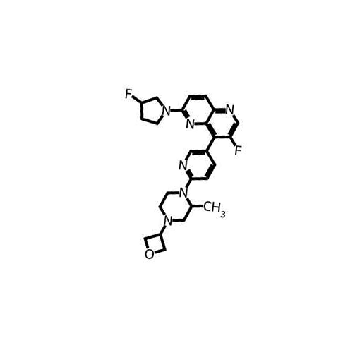 CC1CN(C2COC2)CCN1c1ccc(-c2c(F)cnc3ccc(N4CCC(F)C4)nc23)cn1